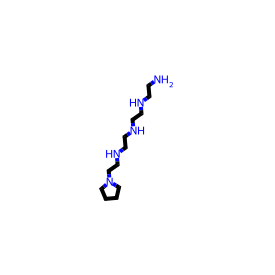 NCCNCCNCCNCCN1CCCC1